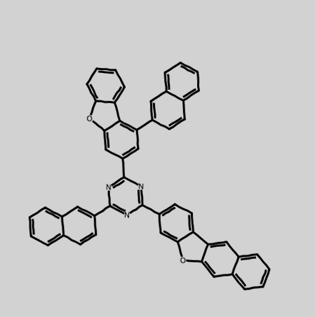 c1ccc2cc(-c3nc(-c4ccc5c(c4)oc4cc6ccccc6cc45)nc(-c4cc(-c5ccc6ccccc6c5)c5c(c4)oc4ccccc45)n3)ccc2c1